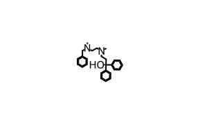 CN(CCN(C)Cc1ccccc1)CCC(O)(c1ccccc1)c1ccccc1